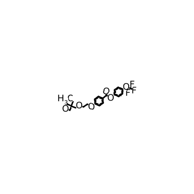 CCC1(COCCOc2ccc(C(=O)Oc3ccc(OC(F)(F)F)cc3)cc2)COC1